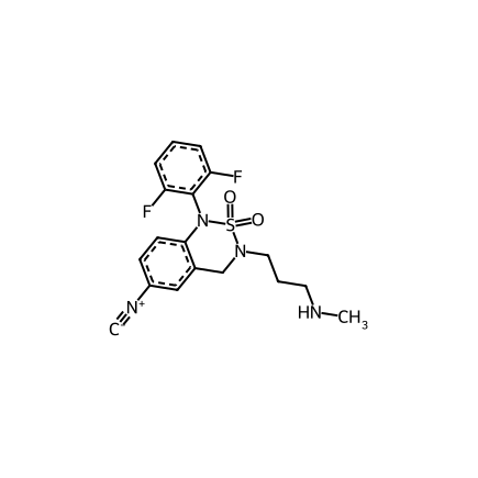 [C-]#[N+]c1ccc2c(c1)CN(CCCNC)S(=O)(=O)N2c1c(F)cccc1F